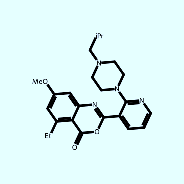 CCc1cc(OC)cc2nc(-c3cccnc3N3CCN(CC(C)C)CC3)oc(=O)c12